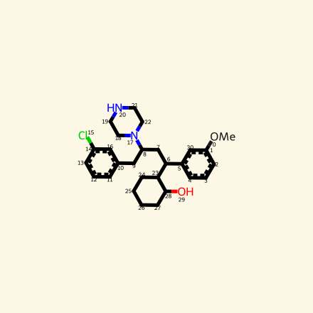 COc1cccc(C(CC(Cc2cccc(Cl)c2)N2CCNCC2)C2CCCCC2O)c1